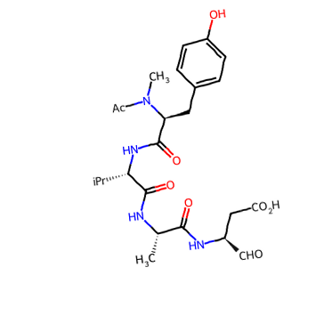 CC(=O)N(C)[C@@H](Cc1ccc(O)cc1)C(=O)N[C@H](C(=O)N[C@@H](C)C(=O)N[C@H](C=O)CC(=O)O)C(C)C